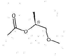 COC[C@H](C)OC(C)=O